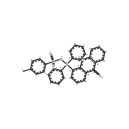 Cc1ccc(S(=O)(=O)OS(c2ccccc2)(c2ccccc2)c2cccc3c(=S)c4ccccc4oc23)cc1